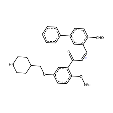 CCCCOc1ccc(OCC2CCNCC2)cc1C(=O)/C=C\c1cc(-c2ccccc2)ccc1C=O